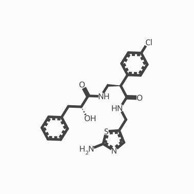 Nc1ncc(CNC(=O)[C@@H](CNC(=O)[C@H](O)Cc2ccccc2)c2ccc(Cl)cc2)s1